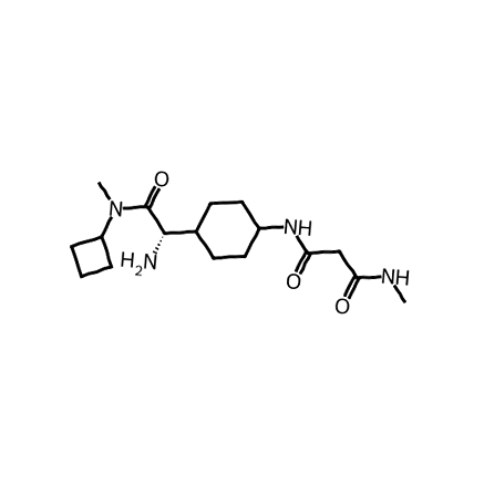 CNC(=O)CC(=O)NC1CCC([C@H](N)C(=O)N(C)C2CCC2)CC1